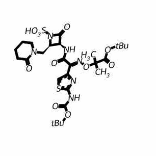 CC(C)(C)OC(=O)Nc1nc(C(=NOC(C)(C)C(=O)OC(C)(C)C)C(=O)N[C@@H]2C(=O)N(S(=O)(=O)O)[C@@H]2CN2CCCCC2=O)cs1